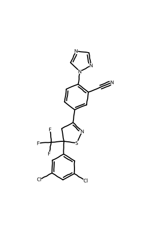 N#Cc1cc(C2=NSC(c3cc(Cl)cc(Cl)c3)(C(F)(F)F)C2)ccc1-n1cncn1